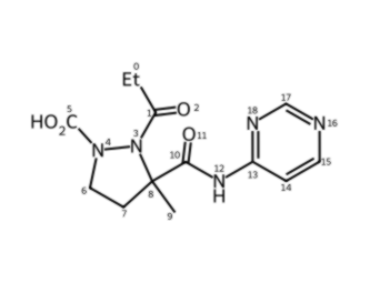 CCC(=O)N1N(C(=O)O)CCC1(C)C(=O)Nc1ccncn1